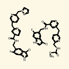 CC(C)(C)OC(=O)NCc1ccc(Cc2cncc(C(=O)NCc3cc4c(Cl)c[nH]c4cc3F)c2)cn1.O=C(NCc1cc2c(Cl)c[nH]c2cc1F)c1ccnc(Cc2ccc(Cn3cccn3)nc2)c1